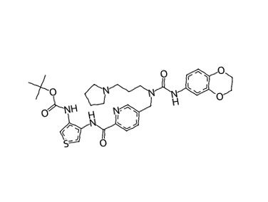 CC(C)(C)OC(=O)Nc1cscc1NC(=O)c1ccc(CN(CCCN2CCCC2)C(=O)Nc2ccc3c(c2)OCCO3)cn1